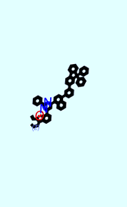 C=CC1Oc2c(-c3cc(-c4ccc(-c5cccc(-c6ccc7c(c6)C(c6ccccc6)(c6ccccc6)c6ccccc6-7)c5)c5ccccc45)nc(-c4ccccc4)n3)cccc2C1/C=C\C